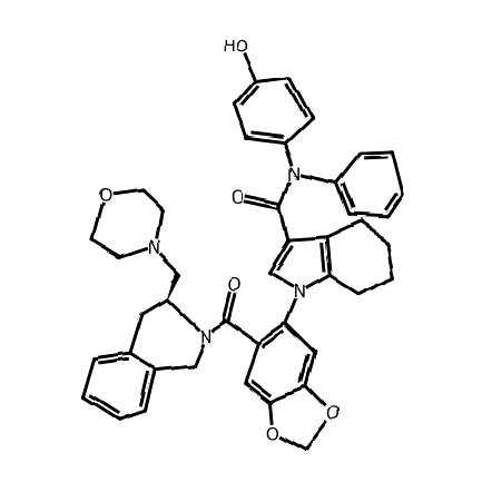 O=C(c1cn(-c2cc3c(cc2C(=O)N2Cc4ccccc4C[C@H]2CN2CCOCC2)OCO3)c2c1CCCC2)N(c1ccccc1)c1ccc(O)cc1